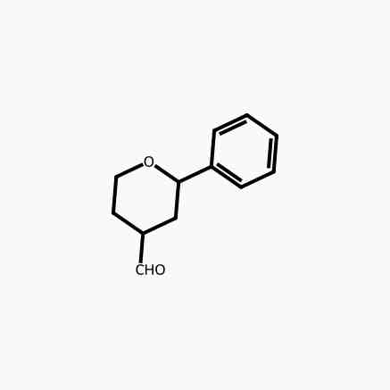 O=CC1CCOC(c2ccccc2)C1